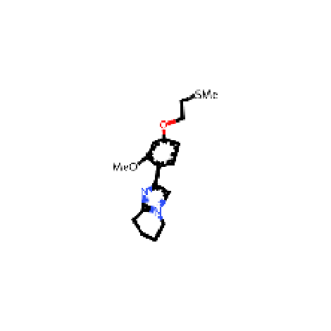 COc1cc(OCCSC)ccc1-c1cn2c(n1)CCCC2